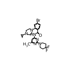 Cc1cc(NC(=O)c2ccc(Br)cc2N2CCN(C3CC3)CC2)nc(N2CCC(F)(F)CC2)n1